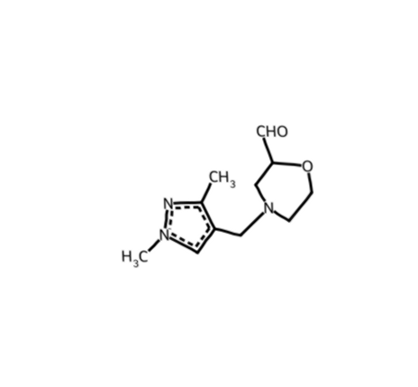 Cc1nn(C)cc1CN1CCOC(C=O)C1